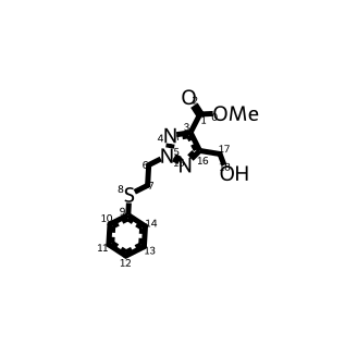 COC(=O)c1nn(CCSc2ccccc2)nc1CO